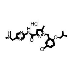 CNCc1cnc(NC(=O)c2cc(C)n(Cc3cc(Cl)ccc3OCC(C)C)n2)cn1.Cl